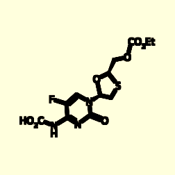 CCOC(=O)OC[C@@H]1O[C@H](n2cc(F)c(NC(=O)O)nc2=O)CS1